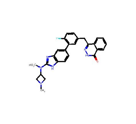 CN1CC(N(C(=O)O)c2nc3cc(-c4cc(Cc5n[nH]c(=O)c6ccccc56)ccc4F)ccc3[nH]2)C1